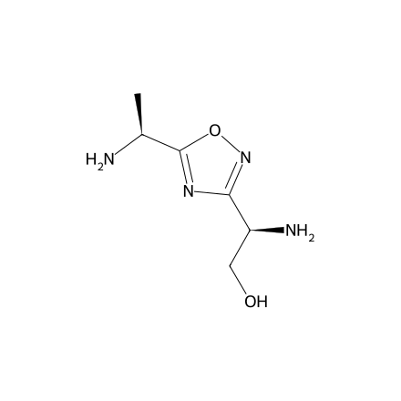 C[C@H](N)c1nc([C@@H](N)CO)no1